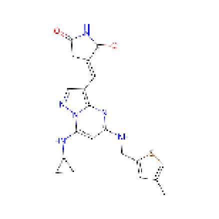 Cc1csc(CNc2cc(NC3CC3)n3ncc(/C=C4\CC(=O)NC4=O)c3n2)c1